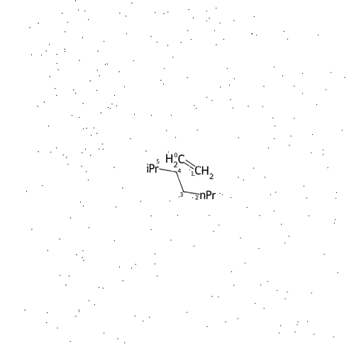 C=C.CCCCCC(C)C